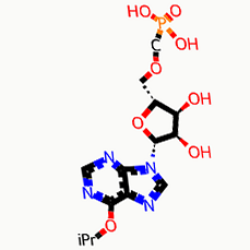 CC(C)Oc1ncnc2c1ncn2[C@@H]1O[C@H](COCP(=O)(O)O)[C@@H](O)[C@H]1O